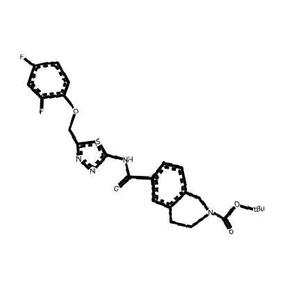 CC(C)(C)OC(=O)N1CCc2cc(C(=O)Nc3nnc(COc4ccc(F)cc4F)s3)ccc2C1